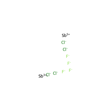 [Cl-].[Cl-].[Cl-].[Cl-].[F-].[F-].[F-].[F-].[Sb+3].[Sb+5]